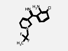 CC(F)(F)CN1CCC=C(C(=N)c2cccc(Cl)c2N)C1